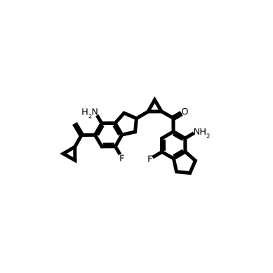 C=C(c1cc(F)c2c(c1N)CC(C1CC1C(=O)c1cc(F)c3c(c1N)CCC3)C2)C1CC1